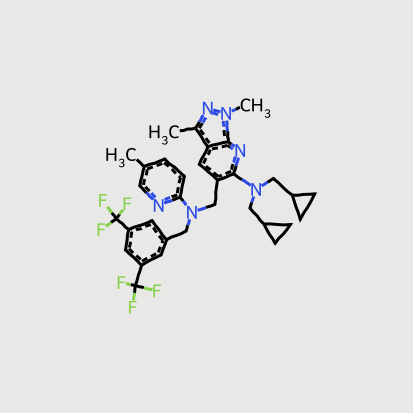 Cc1ccc(N(Cc2cc(C(F)(F)F)cc(C(F)(F)F)c2)Cc2cc3c(C)nn(C)c3nc2N(CC2CC2)CC2CC2)nc1